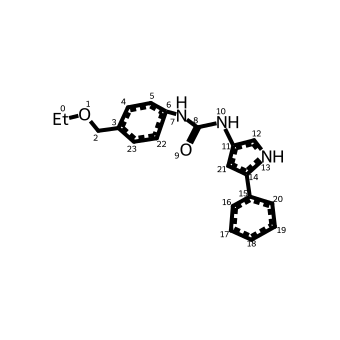 CCOCc1ccc(NC(=O)Nc2c[nH]c(-c3ccccc3)c2)cc1